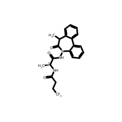 CC1C(=O)N(NC(=O)[C@H](C)NC(=O)CCC(F)(F)F)c2ccccc2-c2ccccc21